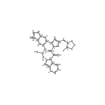 CN1CCC[C@@H]1Cn1cc(NC(=O)c2cnn3cccnc23)c(-c2cc3cn[nH]c3cc2OC(F)F)n1